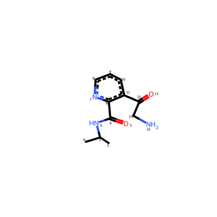 CC(C)NC(=O)c1ncccc1C(=O)CN